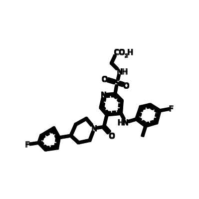 Cc1cc(F)ccc1Nc1cc(S(=O)(=O)NCC(=O)O)ncc1C(=O)N1CCC(c2ccc(F)cc2)CC1